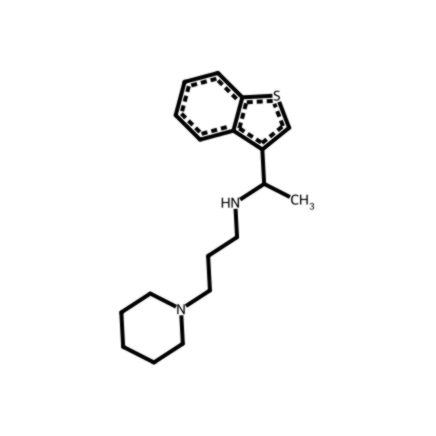 CC(NCCCN1CCCCC1)c1csc2ccccc12